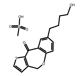 CS(=O)(=O)O.O=C1c2cc(CCCCO)ccc2OCc2ccsc21